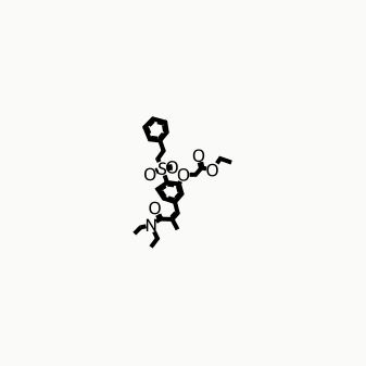 CCOC(=O)COc1cc(/C=C(/C)C(=O)N(CC)CC)ccc1S(=O)(=O)CCc1ccccc1